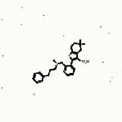 CN(CCCc1ccccc1)Cc1ccccc1-c1sc2c(c1C(=O)O)CC(C)(C)CC2